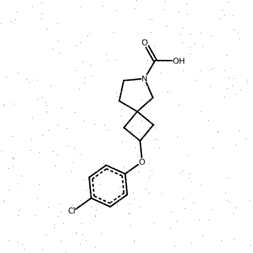 O=C(O)N1CCC2(CC(Oc3ccc(Cl)cc3)C2)C1